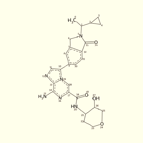 CC(C1CC1)N1Cc2cc(-c3cnc4c(N)nc(C(=O)NC5CCOCC5O)cn34)ccc2C1=O